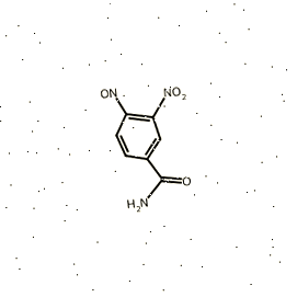 NC(=O)c1ccc(N=O)c([N+](=O)[O-])c1